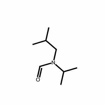 CC(C)CN(C=O)C(C)C